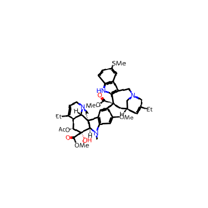 CCC1=C[C@H]2CN(C1)Cc1c([nH]c3ccc(SC)cc13)[C@@](C(=O)OC)(c1cc3c(cc1OC)N(C)[C@H]1[C@@](O)(C(=O)OC)[C@H](OC(C)=O)C4C(CC)=CCN5CC[C@]31[C@H]45)C2